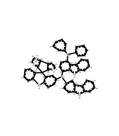 c1ccc(N(c2ccccc2)c2ccc(N(c3ccc4c(c3)C3(c5ccccc5O4)c4ccccc4-c4ccccc43)c3ccc4oc5ccccc5c4c3)c3oc4ccccc4c23)cc1